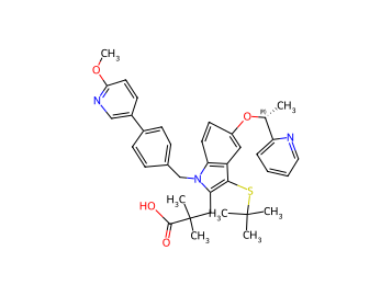 COc1ccc(-c2ccc(Cn3c(CC(C)(C)C(=O)O)c(SC(C)(C)C)c4cc(O[C@H](C)c5ccccn5)ccc43)cc2)cn1